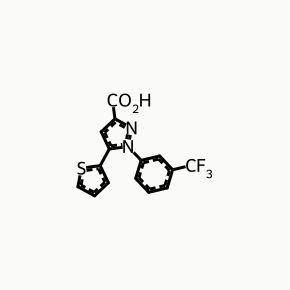 O=C(O)c1cc(-c2cccs2)n(-c2cccc(C(F)(F)F)c2)n1